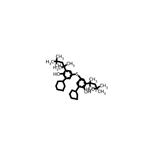 CC(C)(C)CC(C)(C)c1cc(Sc2cc(C3CCCCC3)c(O)c(C(C)(C)CC(C)(C)C)c2)cc(C2CCCCC2)c1O